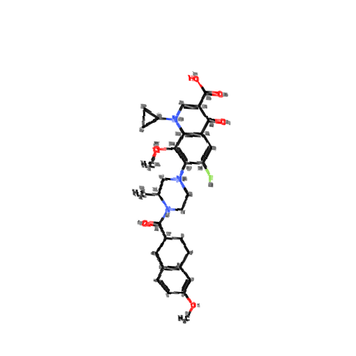 COc1ccc2c(c1)CCC(C(=O)N1CCN(c3c(F)cc4c(=O)c(C(=O)O)cn(C5CC5)c4c3OC)CC1C)C2